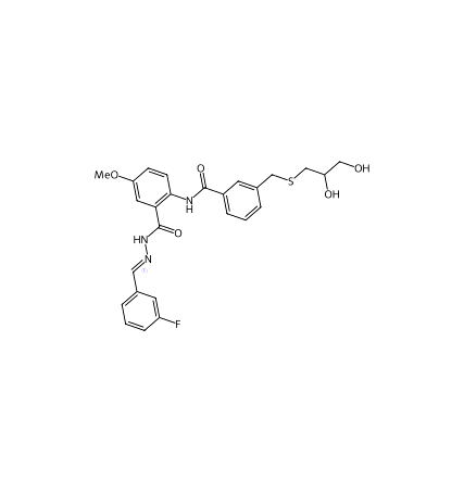 COc1ccc(NC(=O)c2cccc(CSCC(O)CO)c2)c(C(=O)N/N=C/c2cccc(F)c2)c1